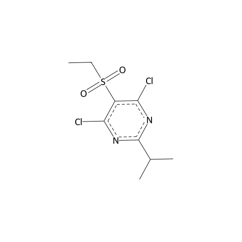 CCS(=O)(=O)c1c(Cl)nc(C(C)C)nc1Cl